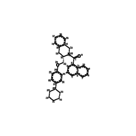 O=C(c1cccc2ccccc12)N1Cc2ccccc2C[C@H]1COc1ccc(C2CCCCC2)cc1